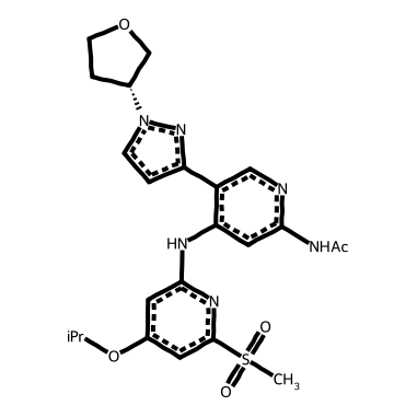 CC(=O)Nc1cc(Nc2cc(OC(C)C)cc(S(C)(=O)=O)n2)c(-c2ccn([C@@H]3CCOC3)n2)cn1